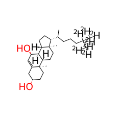 [2H]C([2H])([2H])C([2H])(CCCC(C)[C@H]1CC[C@H]2[C@@H]3[C@H](O)C=C4C[C@@H](O)CC[C@]4(C)[C@H]3CC[C@]12C)C([2H])([2H])[2H]